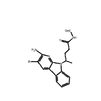 CC(C)c1cc2c3ccccc3n(C(C)CCC(=O)NC=O)c2nc1N